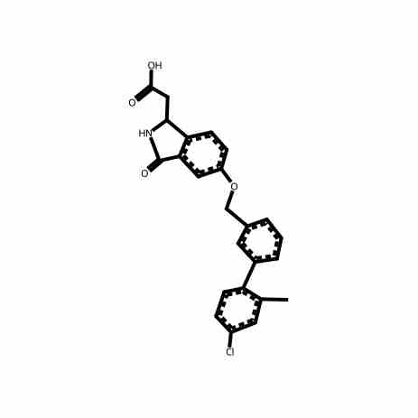 Cc1cc(Cl)ccc1-c1cccc(COc2ccc3c(c2)C(=O)NC3CC(=O)O)c1